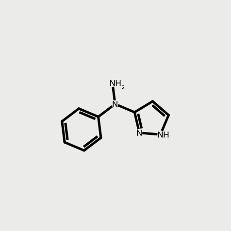 NN(c1ccccc1)c1cc[nH]n1